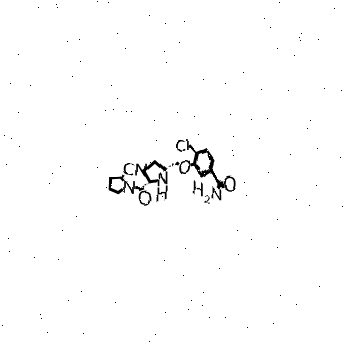 N#C[C@@H]1CCCN1C(=O)[C@@H]1CC[C@H](COc2cc(C(N)=O)ccc2Cl)N1